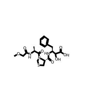 COCC(=O)N[C@@H](C)C(=O)N1CSC[C@H]1C(=O)N[C@@H](Cc1ccccc1)C(O)C(=O)O